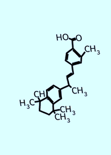 Cc1cc(C=CC(C)c2ccc3c(c2)C(C)(C)CCC3(C)C)ccc1C(=O)O